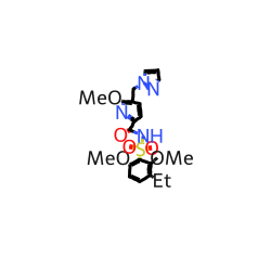 CCc1ccc(OC)c(S(=O)(=O)NC(=O)c2ccc(Cn3cccn3)c(OC)n2)c1OC